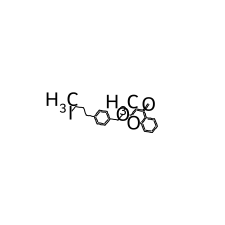 Cc1c(OCc2ccc(CCC(C)I)cc2)oc2ccccc2c1=O